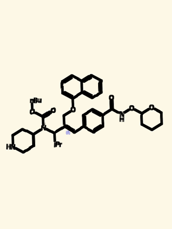 CCCCOC(=O)N(C1CCNCC1)C(/C(=C/c1ccc(C(=O)NOC2CCCCO2)cc1)COc1cccc2ccccc12)C(C)C